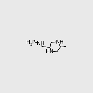 CC1CNC(CNP)CN1